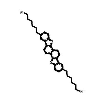 CC(C)CCCCCCc1ccc2sc3c(ccc4c3ccc3c5cc(CCCCCCC(C)C)ccc5sc34)c2c1